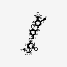 C#Cc1ccc(Oc2ccc(COc3cc4n(c(=O)n3)CCN4C)cc2F)cc1C(F)(F)F